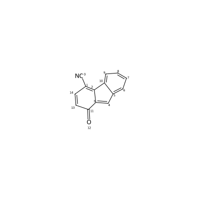 N#CC1=C2C(=Cc3ccccc32)C(=O)C=C1